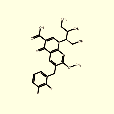 CCC(C)[C@@H](CO)n1cc(C(=O)O)c(=O)c2cc(Cc3cccc(Cl)c3F)c(OC)nc21